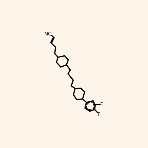 N#CC=CCCC1CCC(CCCCC2CCC(c3ccc(F)c(F)c3)CC2)CC1